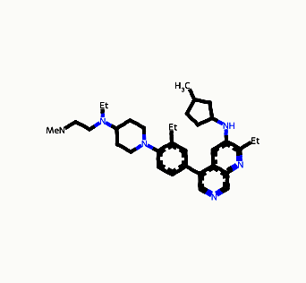 CCc1cc(-c2cncc3nc(CC)c(NC4CCC(C)C4)cc23)ccc1N1CCC(N(CC)CCNC)CC1